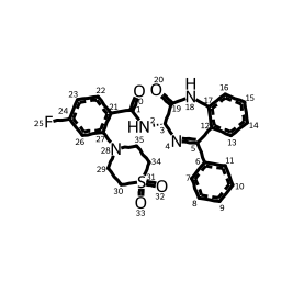 O=C(N[C@H]1N=C(c2ccccc2)c2ccccc2NC1=O)c1ccc(F)cc1N1CCS(=O)(=O)CC1